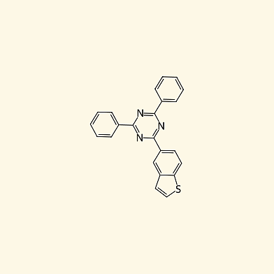 c1ccc(-c2nc(-c3ccccc3)nc(-c3ccc4sccc4c3)n2)cc1